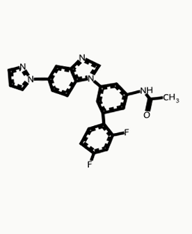 CC(=O)Nc1cc(-c2ccc(F)cc2F)cc(-n2cnc3cc(-n4cccn4)ccc32)c1